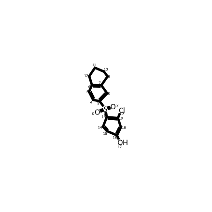 O=S(=O)(c1ccc2c(c1)CCCC2)c1ccc(O)cc1Cl